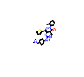 Cc1ccccc1-n1nc(-c2cccs2)c2nc(Nc3ccc(CN(C)C)cc3)ncc2c1=O